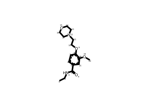 CCNC(=O)c1ccc(OCCN2CCOCC2)c(OC)c1